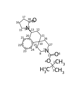 CC(C)(C)OC(=O)N1CCC2(CC[C@H](N3CCCC3=O)c3ccccc32)CC1